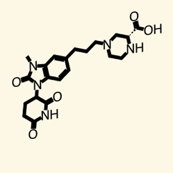 Cn1c(=O)n(C2CCC(=O)NC2=O)c2ccc(CCCN3CCN[C@@H](C(=O)O)C3)cc21